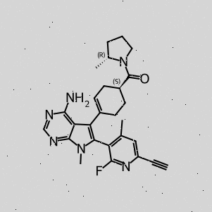 C#Cc1cc(C)c(-c2c(C3=CC[C@@H](C(=O)N4CCC[C@H]4C)CC3)c3c(N)ncnc3n2C)c(F)n1